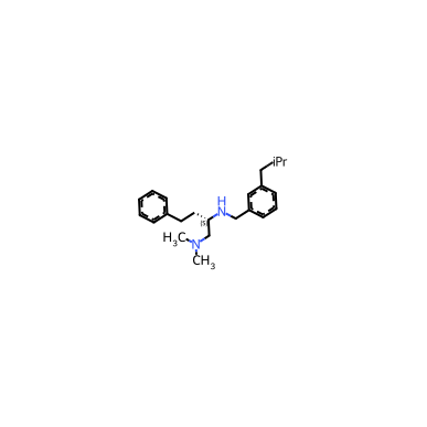 CC(C)Cc1cccc(CN[C@@H](CCc2ccccc2)CN(C)C)c1